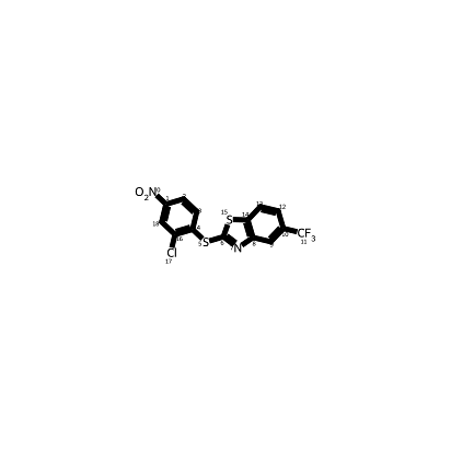 O=[N+]([O-])c1c[c]c(Sc2nc3cc(C(F)(F)F)ccc3s2)c(Cl)c1